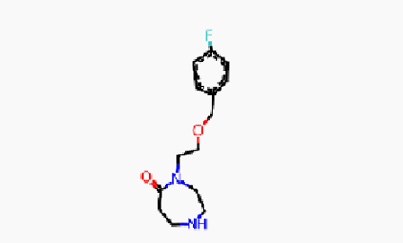 O=C1CCNCCN1CCOCc1ccc(F)cc1